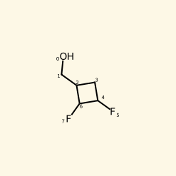 OCC1CC(F)C1F